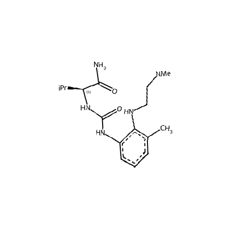 CNCCNc1c(C)cccc1NC(=O)N[C@H](C(N)=O)C(C)C